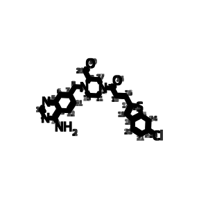 Nc1ncnc2cc(CN3CCN(C(=O)/C=C/c4cc5ccc(Cl)cc5s4)CC3C=O)ccc12